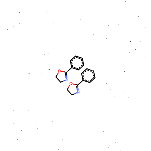 c1ccc(C2=NCCO2)cc1.c1ccc(C2=NCCO2)cc1